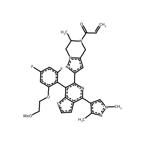 C=CC(=O)N1Cc2cc(-c3nc(-c4cn(C)nc4C)c4ccsc4c3-c3c(F)cc(F)cc3OCCOC)nn2CC1C